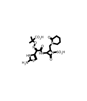 CC(C)(O/N=C(\C(=O)NC1C(=O)N(S(=O)(=O)O)C1CN1CCCCC1=O)C1=CSC(N)N1)C(=O)O